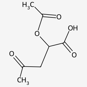 CC(=O)CC(OC(C)=O)C(=O)O